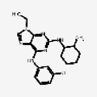 CCn1cnc2c(Nc3cccc(Cl)c3)nc(NC3CCCCC3N)nc21